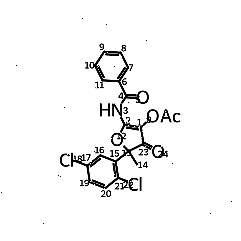 CC(=O)OC1=C(NC(=O)c2ccccc2)OC(C)(c2cc(Cl)ccc2Cl)C1=O